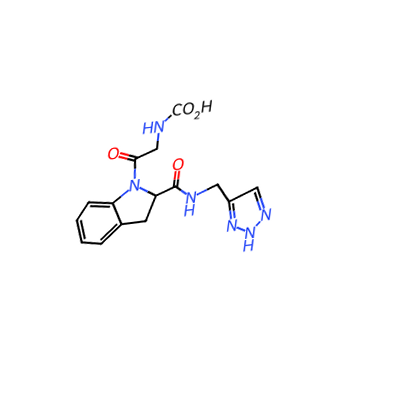 O=C(O)NCC(=O)N1c2ccccc2CC1C(=O)NCc1cn[nH]n1